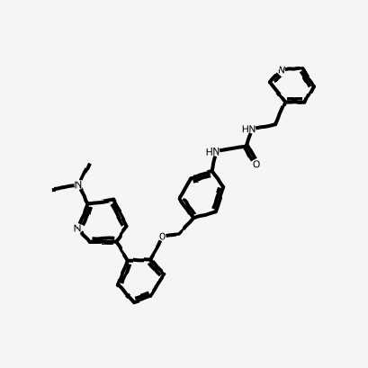 CN(C)c1ccc(-c2ccccc2OCc2ccc(NC(=O)NCc3cccnc3)cc2)cn1